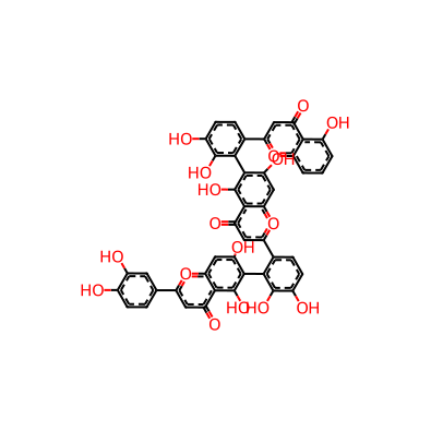 O=c1cc(-c2ccc(O)c(O)c2-c2c(O)cc3oc(-c4ccc(O)c(O)c4-c4c(O)cc5oc(-c6ccc(O)c(O)c6)cc(=O)c5c4O)cc(=O)c3c2O)oc2cccc(O)c12